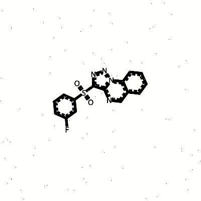 O=S(=O)(c1cccc(F)c1)c1nnn2c1ncc1ccccc12